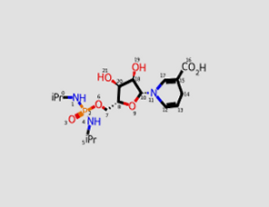 CC(C)NP(=O)(NC(C)C)OC[C@H]1O[C@@H](N2C=CCC(C(=O)O)=C2)[C@H](O)[C@@H]1O